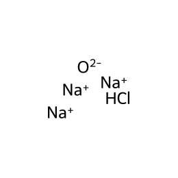 Cl.[Na+].[Na+].[Na+].[O-2]